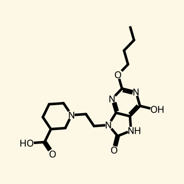 CCCCOc1nc(O)c2[nH]c(=O)n(CCN3CCCC(C(=O)O)C3)c2n1